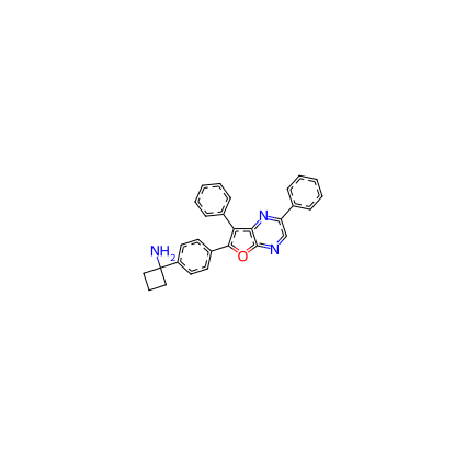 NC1(c2ccc(-c3oc4ncc(-c5ccccc5)nc4c3-c3ccccc3)cc2)CCC1